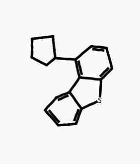 c1ccc2c(c1)sc1cccc([C]3CCCC3)c12